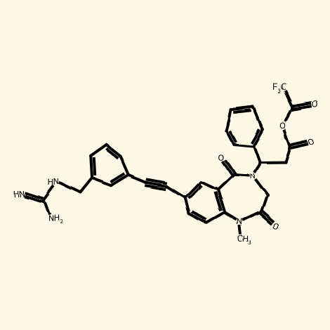 CN1C(=O)CN(C(CC(=O)OC(=O)C(F)(F)F)c2ccccc2)C(=O)c2cc(C#Cc3cccc(CNC(=N)N)c3)ccc21